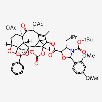 COc1ccc(C2O[C@@H](C(=O)O[C@@H]3C(C)=C4[C@@H](OC(C)=O)C(=O)[C@]5(C)[C@@H](OC(C)=O)C[C@H]6OC[C@@]6(OC(C)=O)[C@H]5[C@H](OC(=O)c5ccccc5)[C@@]5(OC(=O)O[C@@H]35)C4(C)C)[C@H](CC(C)C)N2C(=O)OC(C)(C)C)c(OC)c1